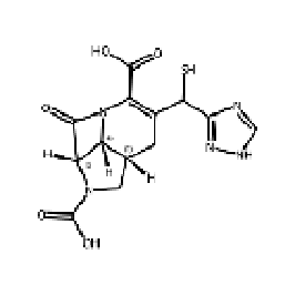 O=C(O)C1=C(C(S)c2nc[nH]n2)C[C@@H]2CN(C(=O)O)[C@@H]3C(=O)N1[C@H]23